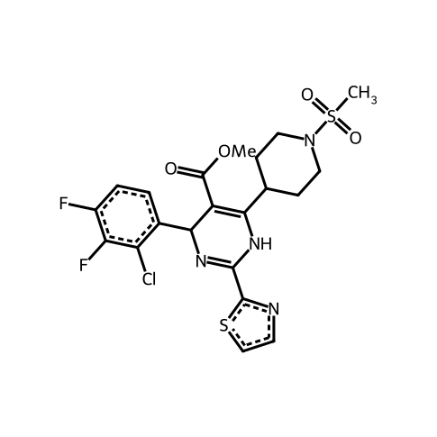 COC(=O)C1=C(C2CCN(S(C)(=O)=O)CC2)NC(c2nccs2)=NC1c1ccc(F)c(F)c1Cl